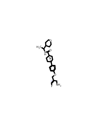 CC(NC(=O)C12CCC(c3ccc(OC/C(=C/F)CN)cc3)(CC1)CC2)C1CCOCC1